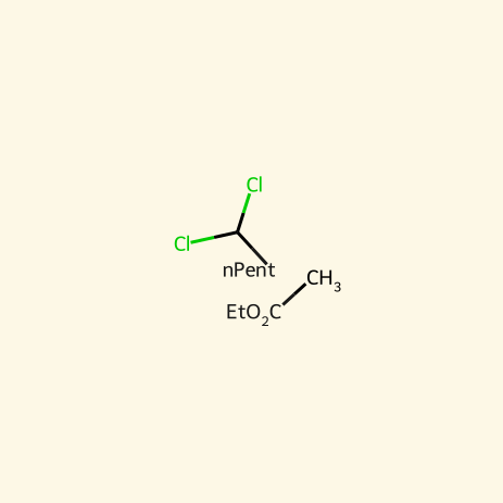 CCCCCC(Cl)Cl.CCOC(C)=O